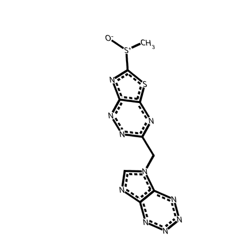 C[S+]([O-])c1nc2nnc(Cn3cnc4nnnnc43)nc2s1